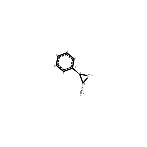 CC[C@H]1O[C@@H]1c1ccccc1